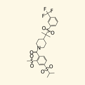 CC(C)S(=O)(=O)c1ccc(C(=O)N2CCC(C(C)(C)S(=O)(=O)c3cccc(C(F)(F)F)c3)CC2)c(S(C)(=O)=O)c1